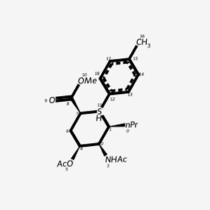 CCC[C@H]1[C@@H](NC(C)=O)[C@@H](OC(C)=O)C[C@@H](C(=O)OC)[SH]1c1ccc(C)cc1